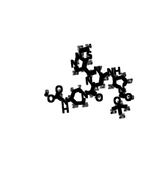 COC(=O)NC1CCN(C(=O)c2cc(N[C@H]3CCN(C(=O)OC(C)(C)C)C3)nc(-c3cnn4ccsc34)n2)CC1